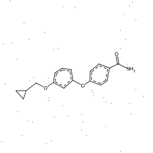 NC(=O)c1ccc(Oc2cccc(OCC3CC3)c2)cc1